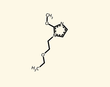 CCOCCn1ccnc1OC